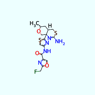 C[C@H]1C[C@H]2CSC(N)=NC2(c2nc(NC(=O)c3coc(CF)n3)cs2)CO1